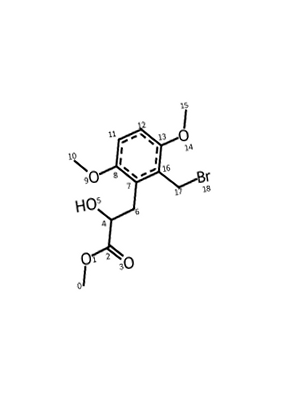 COC(=O)C(O)Cc1c(OC)ccc(OC)c1CBr